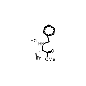 COC(=O)[C@H](CC(C)C)NCc1ccccc1.Cl